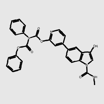 CNC(=O)n1cc(O)c2cc(-c3ccnc(OC(=O)N(C(=O)Oc4ccccc4)c4ccccc4)c3)ccc21